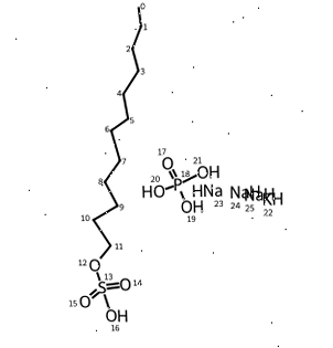 CCCCCCCCCCCCOS(=O)(=O)O.O=P(O)(O)O.[KH].[NaH].[NaH].[NaH]